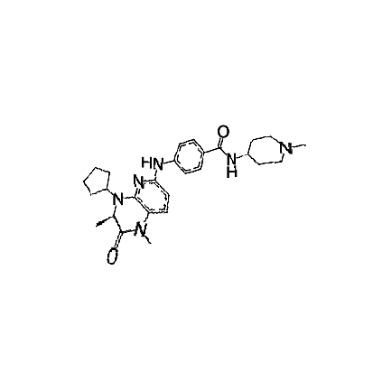 C[C@@H]1C(=O)N(C)c2ccc(Nc3ccc(C(=O)NC4CCN(C)CC4)cc3)nc2N1C1CCCC1